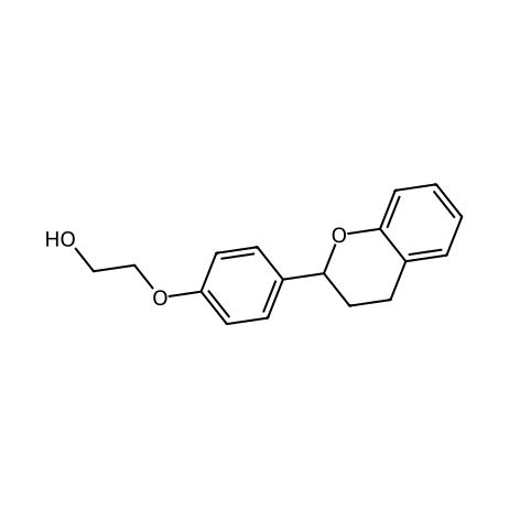 OCCOc1ccc(C2CCc3ccccc3O2)cc1